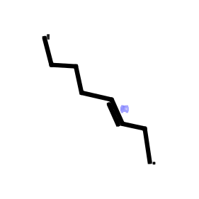 [CH]CCC/C=C/C[CH2]